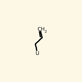 C=C[CH2][U]